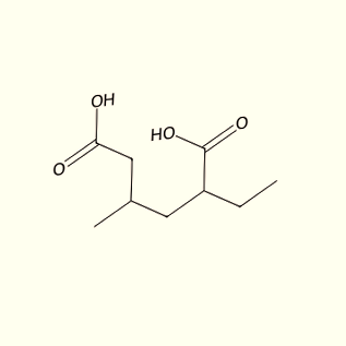 CCC(CC(C)CC(=O)O)C(=O)O